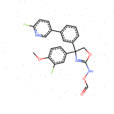 COc1ccc(C2(c3cccc(-c4ccc(F)nc4)c3)COC(NOC=O)=N2)cc1F